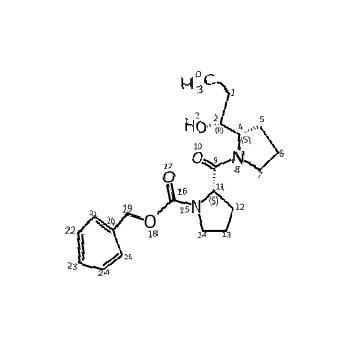 CC[C@@H](O)[C@@H]1CCCN1C(=O)[C@@H]1CCCN1C(=O)OCc1ccccc1